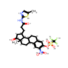 Cc1cnc(NC(=O)CCC2CC(=O)C3(C)CCC4c5cc([N+](=O)[O-])c(OS(=O)(=O)C(F)(F)F)cc5CCC4C23)s1